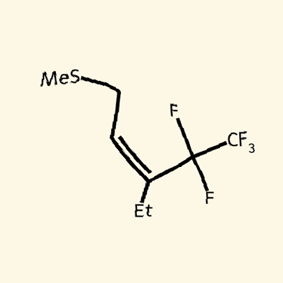 [CH2]SCC=C(CC)C(F)(F)C(F)(F)F